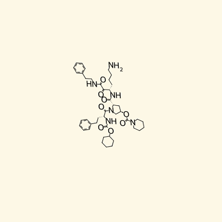 NCCCC[C@H](NC(=O)[C@@H]1C[C@@H](OC(=O)N2CCCCC2)CN1C(=O)[C@@H](CCc1ccccc1)NC(=O)OC1CCCCC1)C(=O)C(=O)NCCc1ccccc1